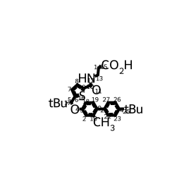 Cc1cc(O[C@@H](c2ccc(C(=O)NCCC(=O)O)s2)C(C)(C)C)ccc1-c1ccc(C(C)(C)C)cc1